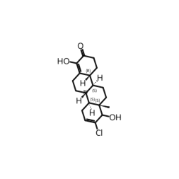 C[C@]12CC[C@H]3[C@@H](CCC4=C(O)C(=O)CC[C@@H]43)[C@@H]1CC=C(Cl)C2O